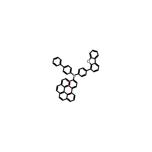 c1ccc(-c2ccc(N(c3ccc(-c4cccc5c4oc4ccccc45)cc3)c3ccc(-c4cccc5ccc6ccc7ccccc7c6c45)cc3)cc2)cc1